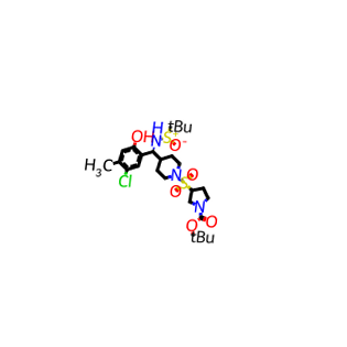 Cc1cc(O)c([C@H](N[S+]([O-])C(C)(C)C)C2CCN(S(=O)(=O)C3CCN(C(=O)OC(C)(C)C)C3)CC2)cc1Cl